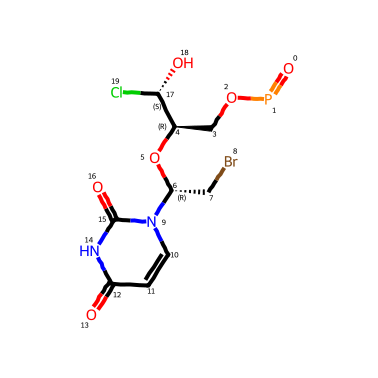 O=POC[C@@H](O[C@H](CBr)n1ccc(=O)[nH]c1=O)[C@@H](O)Cl